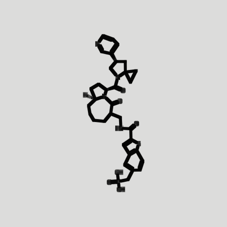 O=C(NCC1CCCC[C@H]2CC[C@@H](C(=O)N3C[C@@H](c4cccnc4)CC34CC4)N2C1=O)c1cc2cc(CP(=O)(O)O)ccc2s1